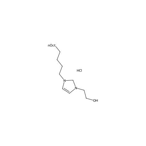 CCCCCCCCCCCCN1C=CN(CCO)C1.Cl